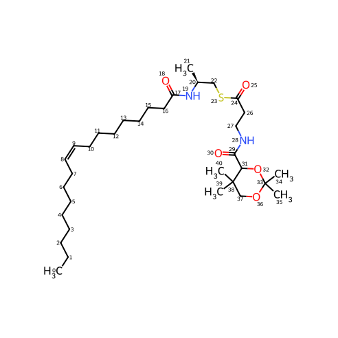 CCCCCCCC/C=C\CCCCCCCC(=O)N[C@@H](C)CSC(=O)CCNC(=O)C1OC(C)(C)OCC1(C)C